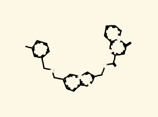 O=C(NCc1cn2cc(CNCc3cccc(F)c3)ccc2n1)c1cc(=O)n2ccccc2n1